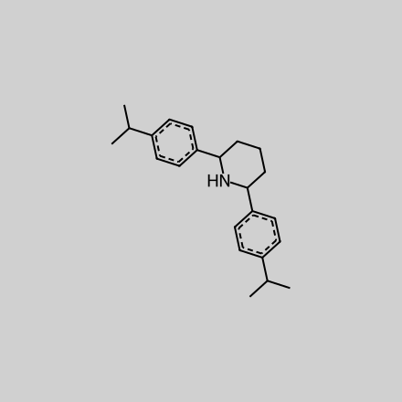 CC(C)c1ccc(C2CCCC(c3ccc(C(C)C)cc3)N2)cc1